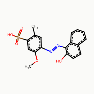 COc1cc(S(=O)(=O)O)c(C)cc1N=Nc1c(O)ccc2ccccc12